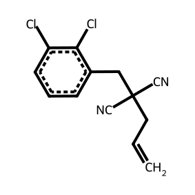 C=CCC(C#N)(C#N)Cc1cccc(Cl)c1Cl